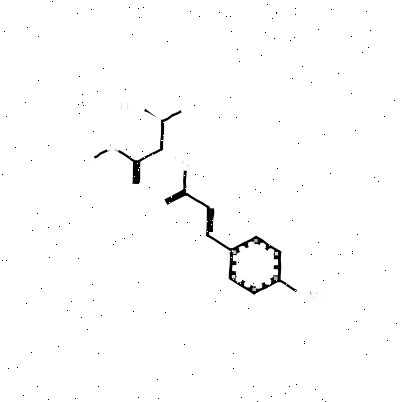 COc1ccc(/C=C/C(=O)N[C@H](C(=O)NO)[C@@H](C)O)cc1